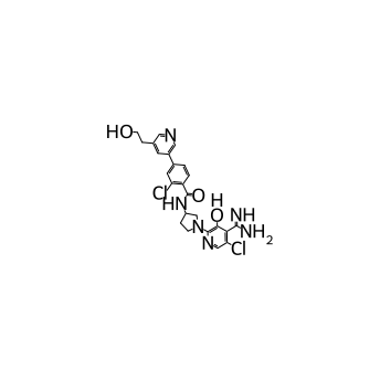 N=C(N)c1c(Cl)cnc(N2CCC(NC(=O)c3ccc(-c4cncc(CCO)c4)cc3Cl)C2)c1O